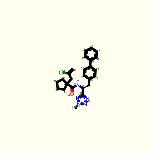 C=C(Cl)CC1(C(=O)N[C@@H](Cc2ccc(-c3ccccc3)cc2)c2nnn(C)n2)CCCC1